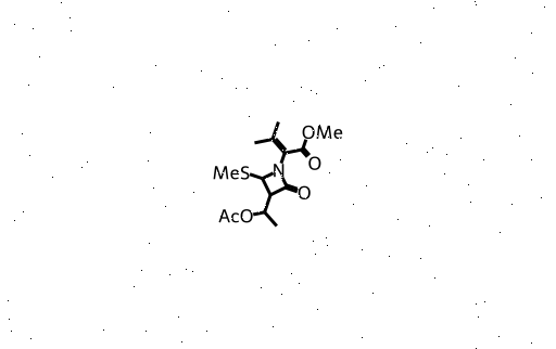 COC(=O)C(=C(C)C)N1C(=O)C(C(C)OC(C)=O)C1SC